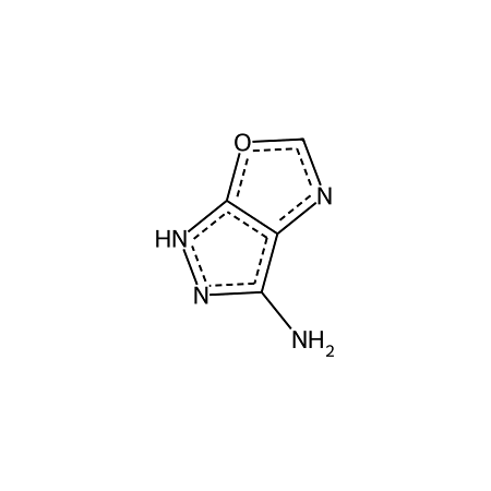 Nc1n[nH]c2ocnc12